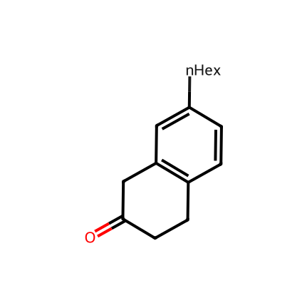 CCCCCCc1ccc2c(c1)CC(=O)CC2